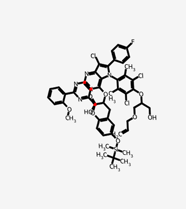 C=CCOCC(CO)Oc1c(Cl)c(C)c(-n2c(-c3ccc(F)cc3)c(Cl)c3ncnc(OC(Cc4cc(O[Si](C)(C)C(C)(C)C)ccc4OCc4ccnc(-c5ccccc5OC)n4)C(=O)O)c32)c(C)c1Cl